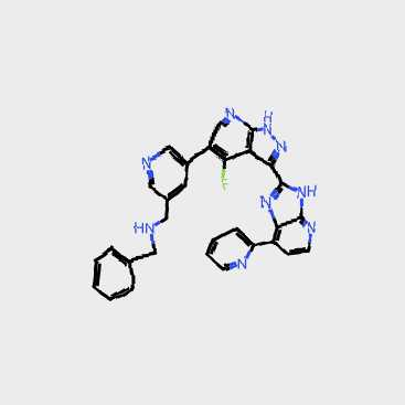 Fc1c(-c2cncc(CNCc3ccccc3)c2)cnc2[nH]nc(-c3nc4c(-c5ccccn5)ccnc4[nH]3)c12